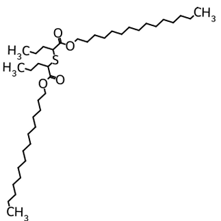 CCCCCCCCCCCCCCCOC(=O)C(CCC)SC(CCC)C(=O)OCCCCCCCCCCCCCCC